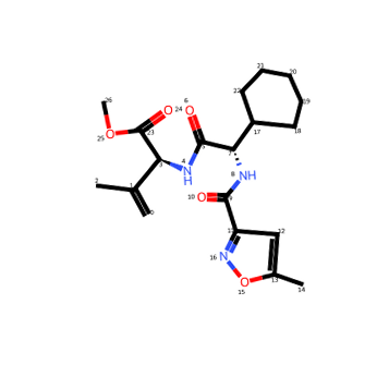 C=C(C)[C@H](NC(=O)[C@@H](NC(=O)c1cc(C)on1)C1CCCCC1)C(=O)OC